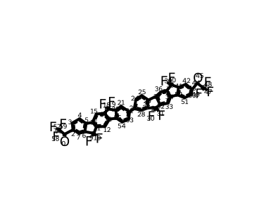 O=C(c1ccc2c(c1)C(F)(F)c1cc3c(cc1-2)C(F)(F)c1cc(-c2ccc4c(c2)C(F)(F)c2cc5c(cc2-4)C(F)(F)c2cc(C(=O)C(F)(F)F)ccc2-5)ccc1-3)C(F)(F)F